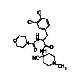 CN1CCC(C#N)(NC(=O)C(Cc2ccc(Cl)c(Cl)c2)NC(=O)N2CCOCC2)CC1